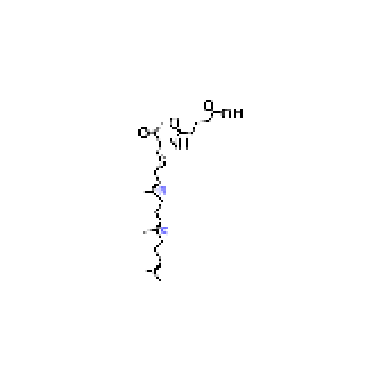 CC(=O)C(CSC/C=C(\C)CC/C=C(\C)CCC=C(C)C)NC(=O)CCCC(=O)O